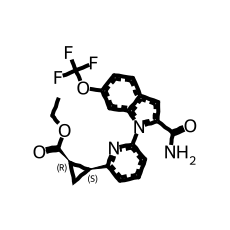 CCOC(=O)[C@@H]1C[C@@H]1c1cccc(-n2c(C(N)=O)cc3ccc(OC(F)(F)F)cc32)n1